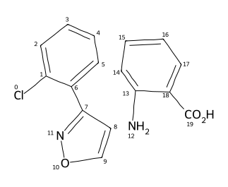 Clc1ccccc1-c1ccon1.Nc1ccccc1C(=O)O